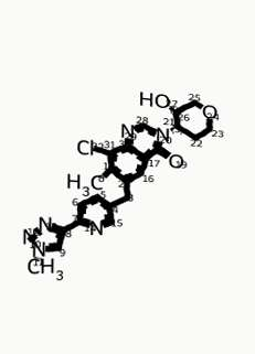 Cc1c(Cc2ccc(-c3cn(C)nn3)nc2)cc2c(=O)n([C@H]3CCOC[C@@H]3O)cnc2c1Cl